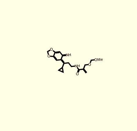 C=C(COCOC)C(=O)NCC/C(=C1/C=C2OCOC2=CC1=N)C1CC1